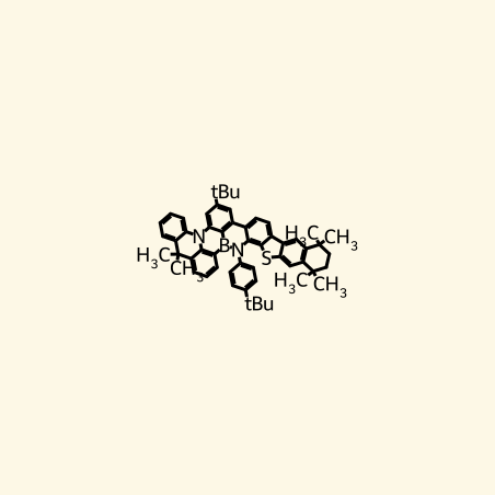 CC(C)(C)c1ccc(N2B3c4cccc5c4N(c4ccccc4C5(C)C)c4cc(C(C)(C)C)cc(c43)-c3ccc4c(sc5cc6c(cc54)C(C)(C)CCC6(C)C)c32)cc1